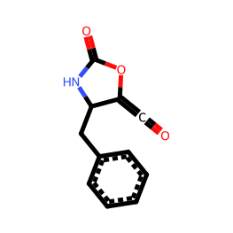 O=C=C1OC(=O)NC1Cc1ccccc1